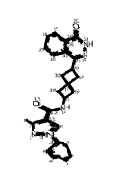 Cc1nn(-c2ccccc2)cc1C(=O)NC1CC2(C1)CC(c1n[nH]c(=O)c3ccccc13)C2